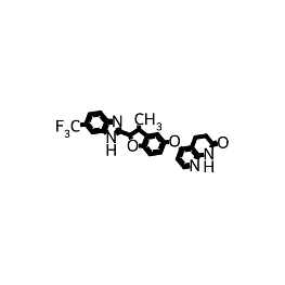 CC1c2cc(Oc3ccnc4c3CCC(=O)N4)ccc2OC1c1nc2ccc(C(F)(F)F)cc2[nH]1